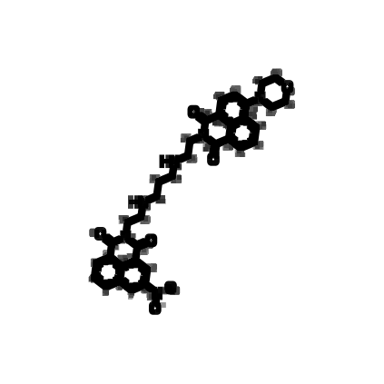 O=C1c2cccc3cc([N+](=O)[O-])cc(c23)C(=O)N1CCNCCCNCCN1C(=O)c2cccc3c(N4CCOCC4)ccc(c23)C1=O